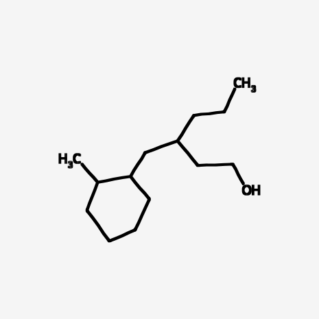 CCCC(CCO)CC1CCCCC1C